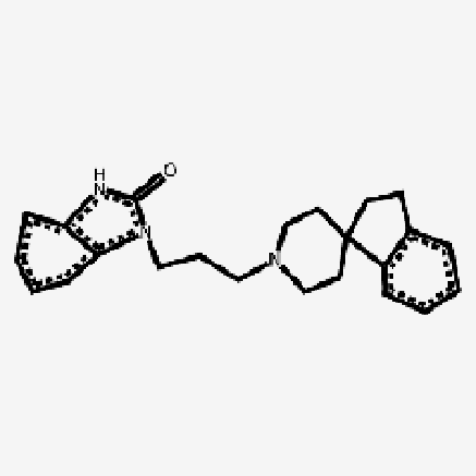 O=c1[nH]c2ccccc2n1CCCN1CCC2(CCc3ccccc32)CC1